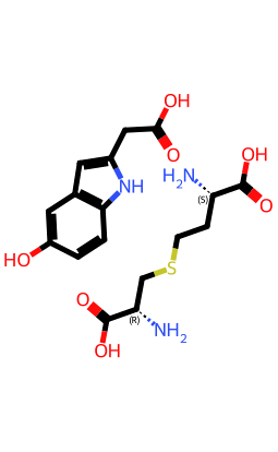 N[C@@H](CCSC[C@H](N)C(=O)O)C(=O)O.O=C(O)Cc1cc2cc(O)ccc2[nH]1